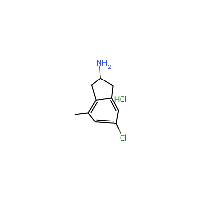 Cc1cc(Cl)cc2c1CC(N)C2.Cl